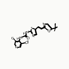 CC(C)(C)c1cnc(C=Cc2cnc(NC(=O)Nc3c(Cl)cncc3Cl)s2)o1